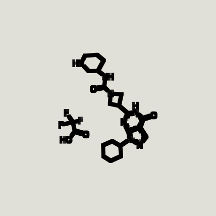 O=C(NC1CCCNC1)N1CC(c2nc3c(cnn3C3CCCCC3)c(=O)[nH]2)C1.O=C(O)C(F)(F)F